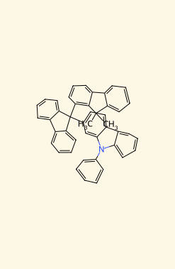 CC1(C)c2ccccc2-c2cccc(C3(c4ccc5c6ccccc6n(-c6ccccc6)c5c4)c4ccccc4-c4ccccc43)c21